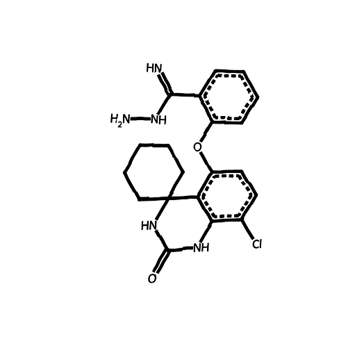 N=C(NN)c1ccccc1Oc1ccc(Cl)c2c1C1(CCCCC1)NC(=O)N2